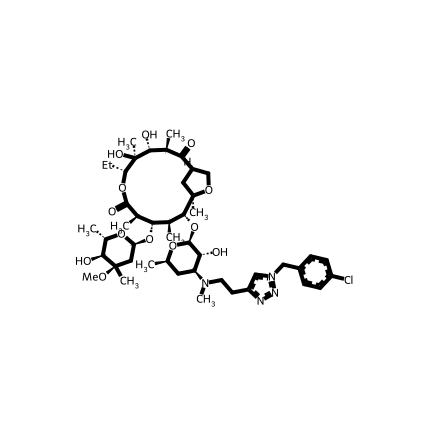 CC[C@H]1OC(=O)[C@H](C)[C@@H](O[C@H]2C[C@@](C)(OC)[C@@H](O)[C@H](C)O2)[C@H](C)[C@@H](O[C@@H]2O[C@H](C)C[C@H](N(C)CCc3cn(Cc4ccc(Cl)cc4)nn3)[C@H]2O)[C@@]2(C)C[C@@H](CO2)C(=O)[C@H](C)[C@@H](O)[C@]1(C)O